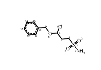 NS(=O)(=O)CCC(Cl)OCc1ccccc1